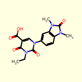 CCn1c(=O)c(C(=O)O)cn(-c2ccc3c(c2)n(C)c(=O)n3C)c1=O